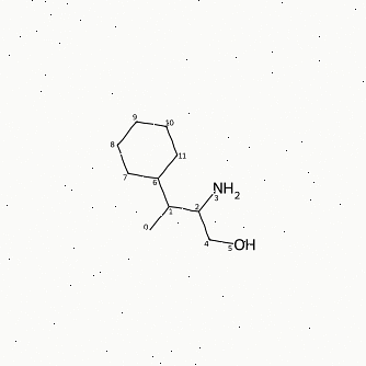 CC(C(N)CO)C1CCCCC1